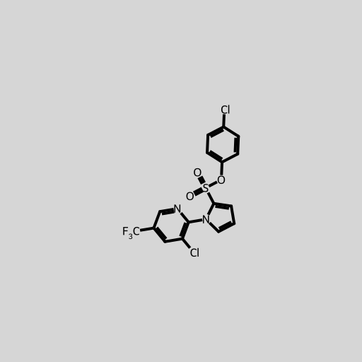 O=S(=O)(Oc1ccc(Cl)cc1)c1cccn1-c1ncc(C(F)(F)F)cc1Cl